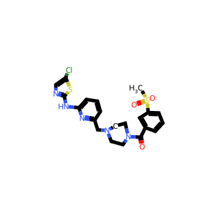 CS(=O)(=O)c1cccc(C(=O)N2CCN(Cc3cccc(Nc4ncc(Cl)s4)n3)CC2)c1